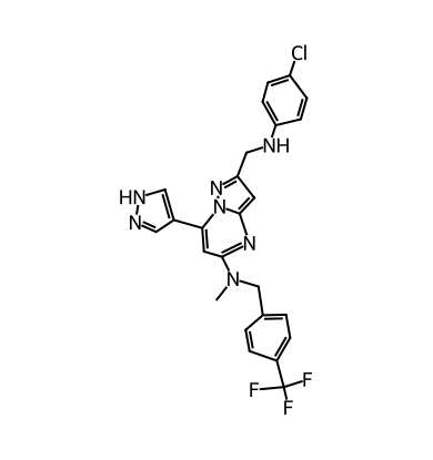 CN(Cc1ccc(C(F)(F)F)cc1)c1cc(-c2cn[nH]c2)n2nc(CNc3ccc(Cl)cc3)cc2n1